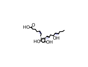 CCC/C=C/C(O)C/C=C/[C@@H]1[C@@H](C/C=C\CCCC(=O)O)[C@@H](O)C[C@H]1O